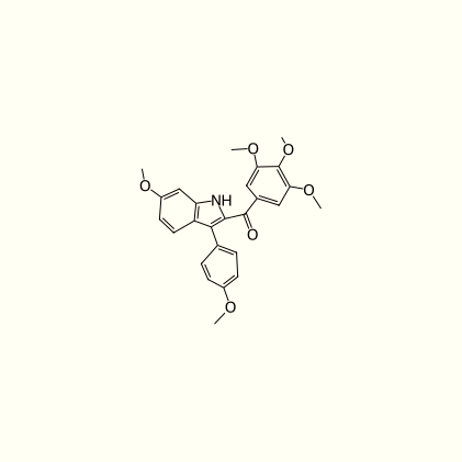 COc1ccc(-c2c(C(=O)c3cc(OC)c(OC)c(OC)c3)[nH]c3cc(OC)ccc23)cc1